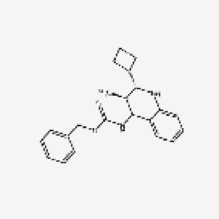 C[C@@H]1C(NC(=O)OCc2ccccc2)c2ccccc2N[C@H]1C1CCC1